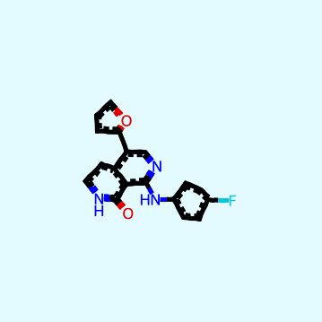 O=c1[nH]ccc2c(-c3ccco3)cnc(Nc3ccc(F)cc3)c12